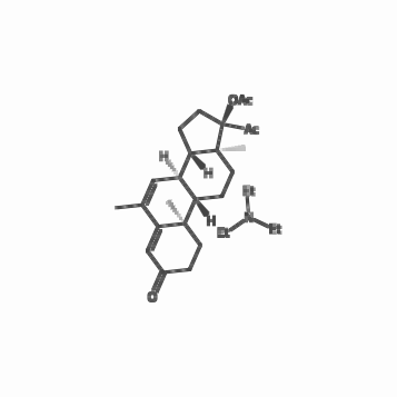 CC(=O)O[C@]1(C(C)=O)CC[C@H]2[C@@H]3C=C(C)C4=CC(=O)CC[C@]4(C)[C@H]3CC[C@@]21C.CCN(CC)CC